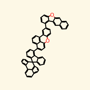 c1ccc2c(c1)-c1c(-c3ccc4c5c(cccc35)-c3cc(-c5cccc6oc7cc8ccccc8cc7c56)ccc3O4)cccc1C21c2ccccc2-c2cccc3cccc1c23